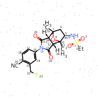 CCS(=O)(=O)N[C@@H]1CC2(C)OC1(C)[C@@H]1C(=O)N(c3ccc(C#N)c(CF)c3)C(=O)[C@@H]12